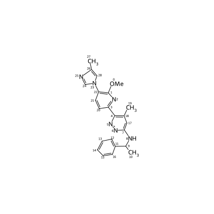 COc1nc(-c2nnc(NC(C)c3ccccc3)cc2C)ccc1-n1cnc(C)c1